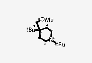 COCC1(C(C)(C)C)CCN(C(C)(C)C)CC1